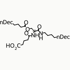 CCCCCCCCCCCCCCNC(=O)[C@H](COC(=O)CCCCCCCCCCCCC)NC(=O)CCCC(=O)O